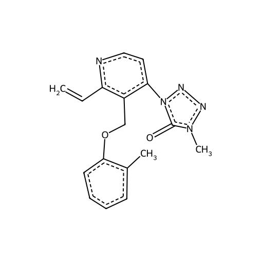 C=Cc1nccc(-n2nnn(C)c2=O)c1COc1ccccc1C